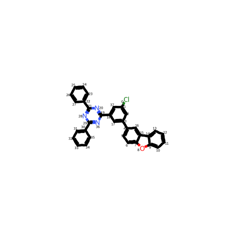 Clc1cc(-c2ccc3oc4ccccc4c3c2)cc(-c2nc(-c3ccccc3)nc(-c3ccccc3)n2)c1